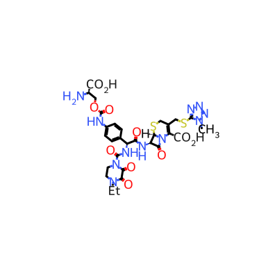 CCN1CCN(C(=O)N[C@H](C(=O)N[C@@H]2C(=O)N3C(C(=O)O)=C(CSc4nnnn4C)CS[C@H]23)c2ccc(NC(=O)OC[C@@H](N)C(=O)O)cc2)C(=O)C1=O